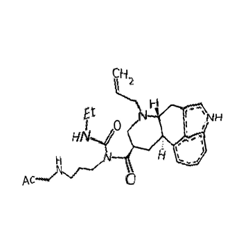 C=CCN1C[C@H](C(=O)N(CCCNCC(C)=O)C(=O)NCC)C[C@@H]2c3cccc4[nH]cc(c34)C[C@H]21